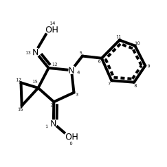 ON=C1CN(Cc2ccccc2)C(=NO)C12CC2